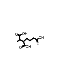 CC(C(=O)O)C(CCCC(=O)O)C(=O)O